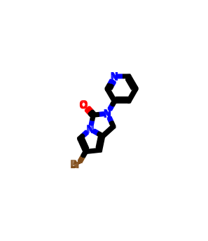 O=C1N(c2cccnc2)Cc2cc(Br)cn21